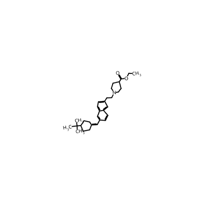 CCOC(=O)C1CCN(CCc2ccc3cc(C=C4CCC(C(C)(C)C)CC4)ccc3c2)CC1